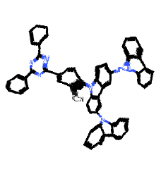 N#Cc1cc(-c2nc(-c3ccccc3)nc(-c3ccccc3)n2)ccc1-n1c2ccc(-n3c4ccccc4c4ccccc43)cc2c2cc(-n3c4ccccc4c4ccccc43)ccc21